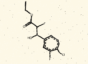 CCOC(=O)C(F)C(O)c1ccc(Cl)c(F)c1